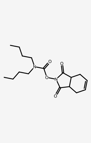 CCCCN(CCCC)C(=O)ON1C(=O)C2CC=CCC2C1=O